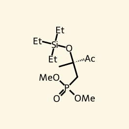 CC[Si](CC)(CC)O[C@](C)(CP(=O)(OC)OC)C(C)=O